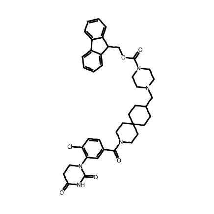 O=C1CCN(c2cc(C(=O)N3CCC4(CCC(CN5CCN(C(=O)OCC6c7ccccc7-c7ccccc76)CC5)CC4)CC3)ccc2Cl)C(=O)N1